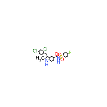 Cc1[nH]c2ccc(C(=O)NS(=O)(=O)c3ccc(F)cc3)cc2c1Cc1ccc(Cl)cc1Cl